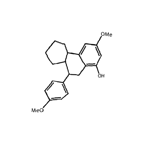 COc1ccc(C2Cc3c(O)cc(OC)cc3C3CCCCC23)cc1